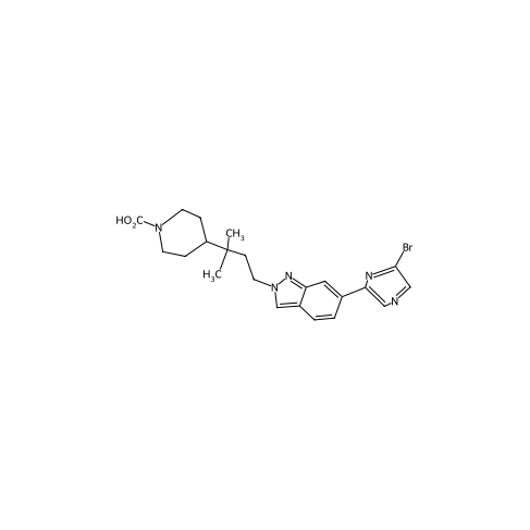 CC(C)(CCn1cc2ccc(-c3cncc(Br)n3)cc2n1)C1CCN(C(=O)O)CC1